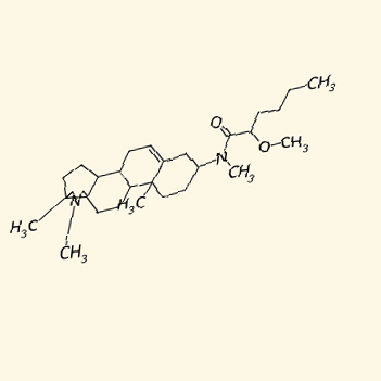 CCCCC(OC)C(=O)N(C)C1CCC2(C)C(=CCC3C2CCC24CN(C)C(C)C2CCC34)C1